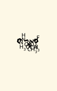 CC(C)(C)OC(=O)N(CCNc1ccccn1)CC(=O)N1C[C@@H](F)C[C@H]1C#N